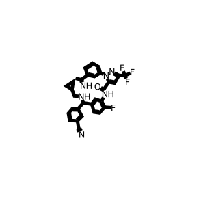 CC(=N)c1cccc(-n2nc(C(F)(F)F)cc2C(=O)Nc2cc(C(NCC3CC3)c3cccc(C#N)c3)ccc2F)c1